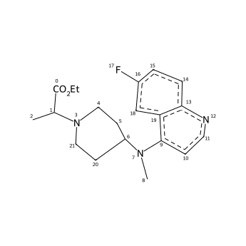 CCOC(=O)C(C)N1CCC(N(C)c2ccnc3ccc(F)cc23)CC1